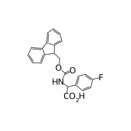 O=C(NC(C(=O)O)c1ccc(F)cc1)OCC1c2ccccc2-c2ccccc21